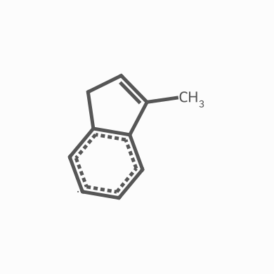 CC1=CCc2c[c]ccc21